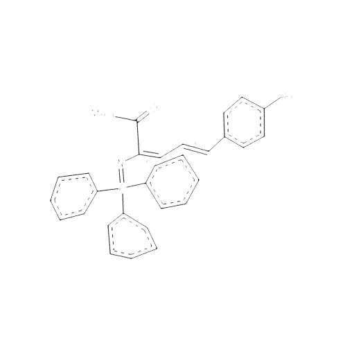 COC(=O)/C(=C\C=C\c1ccc(C(C)C)cc1)N=P(c1ccccc1)(c1ccccc1)c1ccccc1